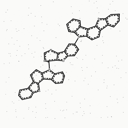 c1ccc2c(c1)sc1c2ccc2c1c1ccccc1n2-c1ccc2oc3c(-n4c5ccccc5c5c6sc7ccccc7c6ccc54)ncnc3c2c1